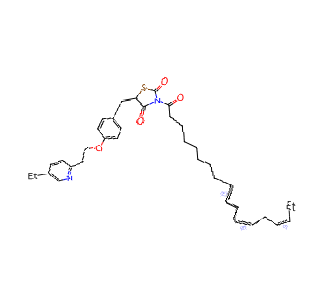 CC/C=C\C/C=C\C/C=C/CCCCCCCC(=O)N1C(=O)SC(Cc2ccc(OCCc3ccc(CC)cn3)cc2)C1=O